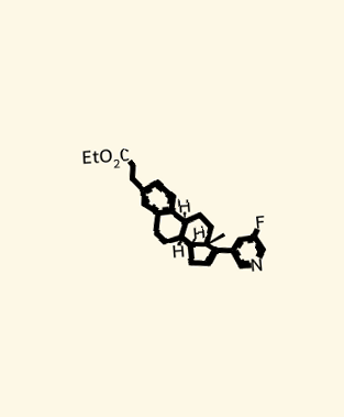 CCOC(=O)CCc1ccc2c(c1)CC[C@@H]1[C@@H]2CC[C@]2(C)C(c3cncc(F)c3)=CC[C@@H]12